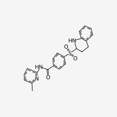 Cc1cccc(NC(=O)c2ccc(S(=O)(=O)C3CCc4ccccc4N3)cc2)n1